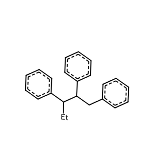 CCC(c1ccccc1)C(Cc1ccccc1)c1ccccc1